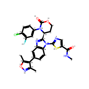 CNC(=O)c1cnc(-n2c([C@@H]3CCOC(=O)N3c3ccc(Cl)c(F)c3)nc3cc(-c4c(C)noc4C)ccc32)s1